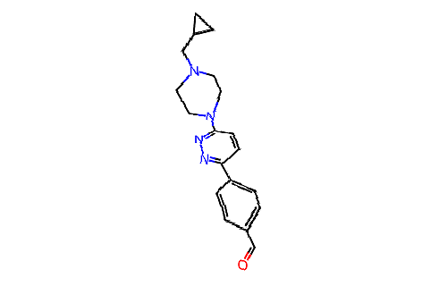 O=Cc1ccc(-c2ccc(N3CCN(CC4CC4)CC3)nn2)cc1